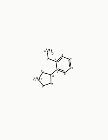 NCc1ccccc1C1CCNC1